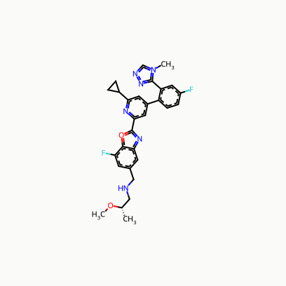 CO[C@@H](C)CNCc1cc(F)c2oc(-c3cc(-c4ccc(F)cc4-c4nncn4C)cc(C4CC4)n3)nc2c1